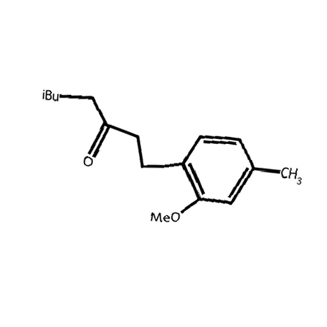 CCC(C)CC(=O)CCc1ccc(C)cc1OC